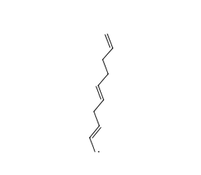 [CH2]/C=C/C/C=C/CCC=C